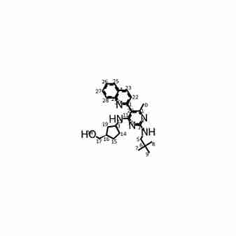 Cc1nc(NCC(C)(C)C)nc(N[C@H]2CC[C@@H](CO)C2)c1-c1ccc2ccccc2n1